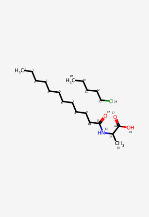 CCCCCCCCCCCC(=O)NC(C)C(=O)O.CCCCCCl